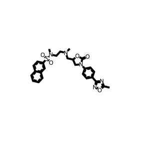 Cc1nc(-c2ccc(N3CC(CN(C)CCN(C)S(=O)(=O)c4ccc5ccccc5c4)OC3=O)cc2)no1